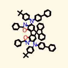 CC(C)(C)c1ccc(N(c2ccc(-c3ccccc3)cc2)c2cc3c(c4oc(-c5ccccc5)nc24)-c2c(cc(N(c4ccc(-c5ccccc5)cc4)c4ccc(C(C)(C)C)cc4)c4nc(-c5ccccc5)oc24)C32c3ccccc3-c3ccccc32)cc1